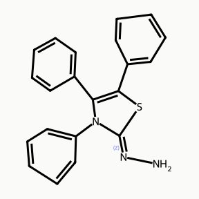 N/N=c1\sc(-c2ccccc2)c(-c2ccccc2)n1-c1ccccc1